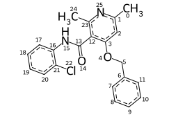 Cc1cc(OCc2ccccc2)c(C(=O)Nc2ccccc2Cl)c(C)n1